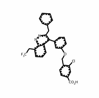 O=C(O)c1ccc(COc2cccc(-c3c(Cc4ccccc4)nnc4c(CC(F)(F)F)cccc34)c2)c(Cl)c1